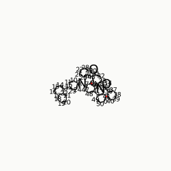 c1ccc(-c2ccc(N(c3ccc(-c4cccc5ccccc45)cc3)c3cccc4oc5cc6oc(-c7ccccc7)nc6cc5c34)cc2)cc1